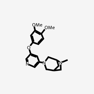 COc1ccc(Oc2cncc(N3CC4CC(C3)N(C)C4)c2)cc1OC